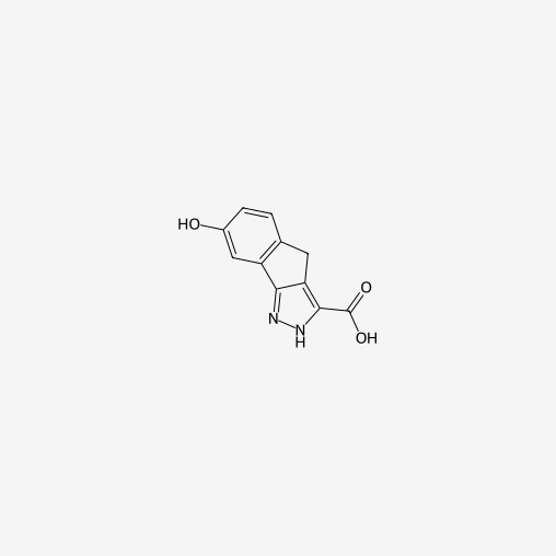 O=C(O)c1[nH]nc2c1Cc1ccc(O)cc1-2